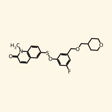 Cn1c(=O)ccc2cc(SOc3cc(F)cc(COCC4CCOCC4)c3)ccc21